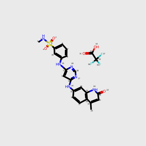 CNS(=O)(=O)c1cccc(Nc2cc(Nc3ccc4c(C)cc(=O)[nH]c4c3)ncn2)c1.O=C(O)C(F)(F)F